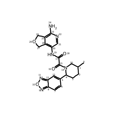 CC1CCC(c2ccc3nonc3c2)N(C(=O)C(=O)Nc2cnc(N)c3c2COC3)C1